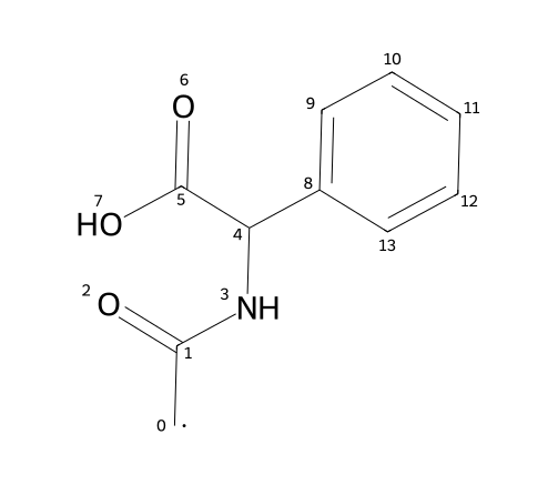 [CH2]C(=O)NC(C(=O)O)c1ccccc1